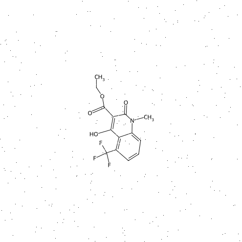 CCOC(=O)c1c(O)c2c(C(F)(F)F)cccc2n(C)c1=O